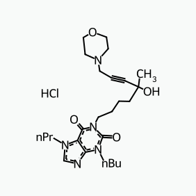 CCCCn1c(=O)n(CCCCC(C)(O)C#CCN2CCOCC2)c(=O)c2c1ncn2CCC.Cl